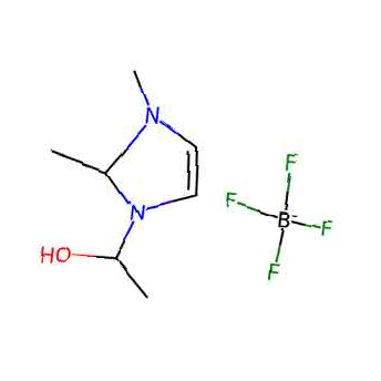 CC(O)N1C=CN(C)C1C.F[B-](F)(F)F